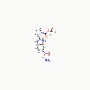 CC(C)(C)OC(=O)N1CCCC1c1nc2ccc(C(=O)CN)cc2[nH]1